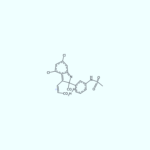 CS(=O)(=O)Nc1cccc(C2(C(=O)O)N=c3cc(Cl)cc(Cl)c3=C2/C=C\C(=O)O)c1